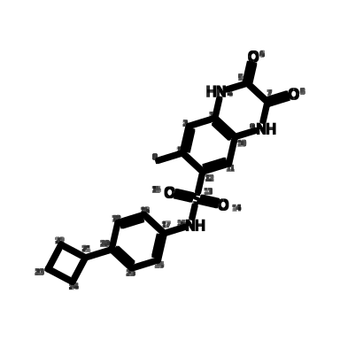 Cc1cc2[nH]c(=O)c(=O)[nH]c2cc1S(=O)(=O)Nc1ccc(C2CCC2)cc1